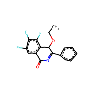 CCOC1C(c2ccccc2)=NC(=O)c2cc(F)c(F)c(F)c21